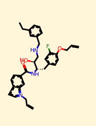 C=CCOc1ccc(C[C@H](NC(=O)c2ccc3ccn(CC=C)c3c2)[C@@H](O)CNCc2cccc(CC)c2)cc1F